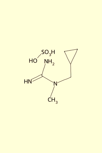 CN(CC1CC1)C(=N)N.O=S(=O)(O)O